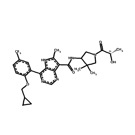 Cc1[nH]c2c(-c3cc(C(F)(F)F)ccc3OCC3CC3)ncnc2c1C(=O)NC1CN(C(=O)[C@H](C)O)CC1(C)C